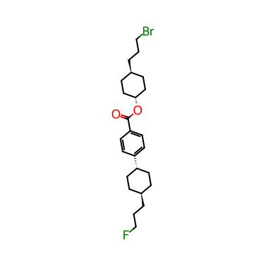 O=C(O[C@H]1CC[C@H](CCCBr)CC1)c1ccc([C@H]2CC[C@H](CCCF)CC2)cc1